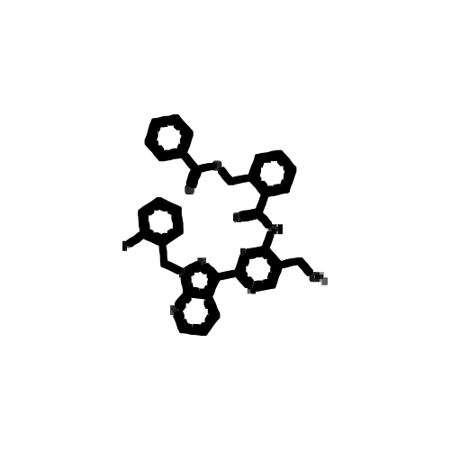 CCc1cnc(-c2nn(Cc3ccccc3F)c3ncccc23)nc1NC(=O)c1ccccc1COC(=O)c1ccccc1